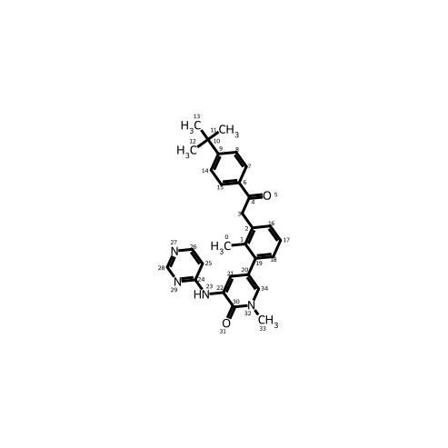 Cc1c(CC(=O)c2ccc(C(C)(C)C)cc2)cccc1-c1cc(Nc2ccncn2)c(=O)n(C)c1